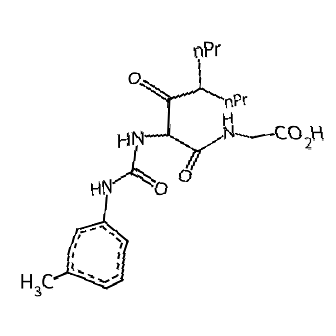 CCCC(CCC)C(=O)C(NC(=O)Nc1cccc(C)c1)C(=O)NCC(=O)O